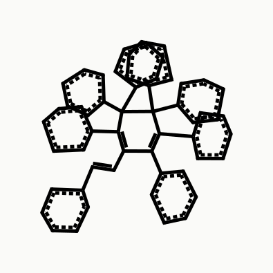 C(=Cc1ccccc1)C1=C(c2ccccc2)C(c2ccccc2)(c2ccccc2)C(c2ccccc2)(c2ccccc2)C(c2ccccc2)=C1c1ccccc1